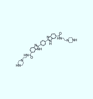 O=C(NCCN1CCNCC1)c1ccc2nc(-c3ccc(-c4nc5ccc(C(=O)NCCN6CCNCC6)cc5[nH]4)cc3)[nH]c2c1